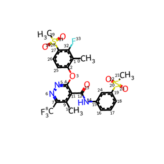 Cc1c(Oc2nnc(C(F)(F)F)c(C)c2C(=O)Nc2cccc(S(C)(=O)=O)c2)ccc(S(C)(=O)=O)c1F